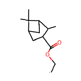 [CH2]COC(=O)C1CC2CC(C1C)C2(C)C